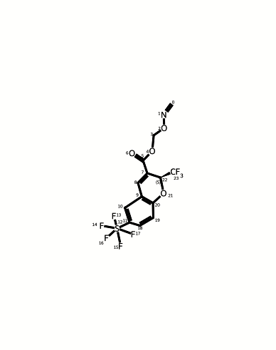 C=NOCOC(=O)C1=Cc2cc(S(F)(F)(F)(F)F)ccc2O[C@@H]1C(F)(F)F